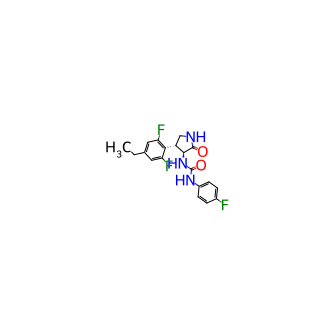 CCc1cc(F)c([C@@H]2CNC(=O)[C@H]2NC(=O)Nc2ccc(F)cc2)c(F)c1